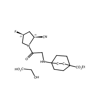 CCOC(=O)C12CCC(NCC(=O)N3C[C@@H](F)C[C@H]3C#N)(CC1)CC2.O=C(O)CO